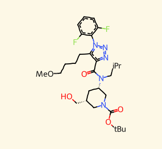 COCCCCc1c(C(=O)N(CC(C)C)[C@H]2C[C@@H](CO)CN(C(=O)OC(C)(C)C)C2)nnn1-c1c(F)cccc1F